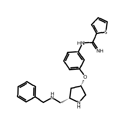 N=C(Nc1cccc(O[C@@H]2CN[C@H](CNCc3ccccc3)C2)c1)c1cccs1